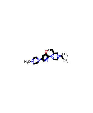 CC(C)N1CCN2c3ncc(N4CCN(C)CC4)cc3OCCC2C1